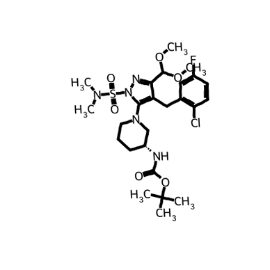 COC(OC)c1nn(S(=O)(=O)N(C)C)c(N2CCC[C@@H](NC(=O)OC(C)(C)C)C2)c1Cc1cc(F)ccc1Cl